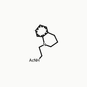 CC(=O)NCCN1CCCc2cc[c]cc21